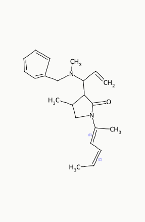 C=CC(C1C(=O)N(/C(C)=C/C=C\C)CC1C)N(C)Cc1ccccc1